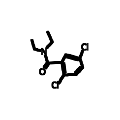 CCN(CC)C(=O)c1cc(Cl)ccc1Cl